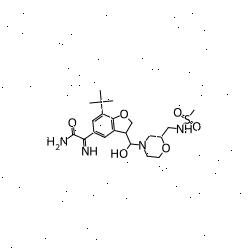 CC(C)(C)c1cc(C(=N)C(N)=O)cc2c1OCC2C(O)N1CCOC(CNS(C)(=O)=O)C1